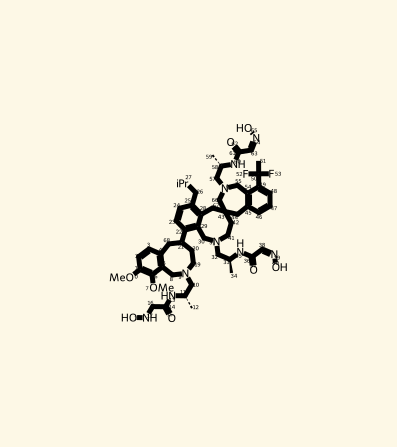 COc1ccc2c(c1OC)CN(C[C@H](C)NC(=O)CNO)CCC(c1ccc(CC(C)C)c3c1CN(C[C@H](C)NC(=O)/C=N\O)CCC1(Cc4cccc(C(C)(F)F)c4CN(C[C@H](C)NC(=O)/C=N\O)C1)C3)C2